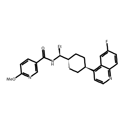 CC[C@H](NC(=O)c1ccc(OC)nc1)[C@H]1CC[C@H](c2ccnc3ccc(F)cc32)CC1